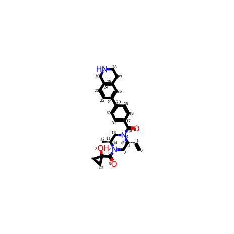 C=C[C@@H]1CN(C(=O)C2(O)CC2)[C@@H](C)CN1C(=O)c1ccc(-c2ccc3c(c2)CCNC3)cc1